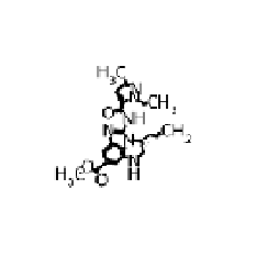 C=CC[C@H]1CNc2cc(C(=O)OC)cc3nc(NC(=O)c4cc(C)nn4CC)n1c23